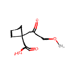 COCC(=O)C1(C(=O)O)CCC1